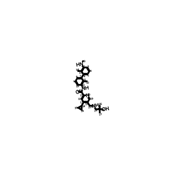 CNc1cccc(-c2cccc(NC(=O)c3cc(C4CC4)c(CNCC(C)(C)O)cn3)c2C)c1C